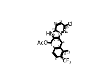 CC(=O)OCC1=C(Cc2cccc(C(F)(F)F)c2C)N2N=C(Cl)C=CC2N1